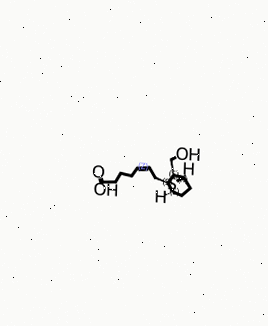 O=C(O)CCC/C=C\C[C@H]1[C@@H](CO)[C@H]2CC[C@@H]1S2